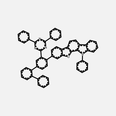 c1ccc(-c2nc(-c3ccccc3)nc(-c3cc(-c4ccccc4-c4ccccc4)ccc3-c3ccc4c(c3)oc3c4ccc4c5ccccc5n(-c5ccccc5)c43)n2)cc1